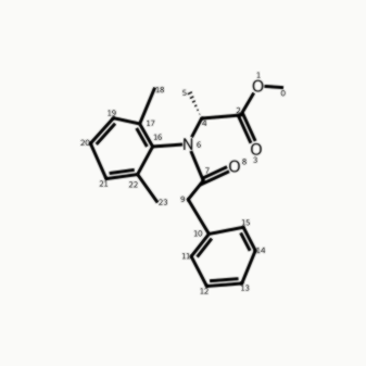 COC(=O)[C@@H](C)N(C(=O)Cc1ccccc1)c1c(C)cccc1C